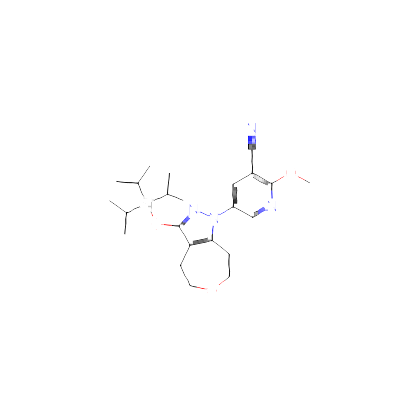 COc1ncc(-n2nc(O[Si](C(C)C)(C(C)C)C(C)C)c3c2CCOCC3)cc1C#N